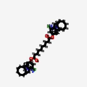 CC12CCCCCC(Cc3c(F)cc(OC(=O)CCCCCCCCC(=O)Oc4cc(F)c5c(c4)C4(C)CCCCCC(C5)C4N)cc31)C2N